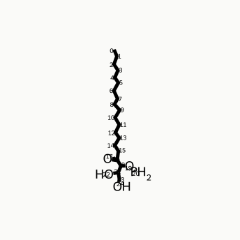 CCCCCCCCCCCCCCCCC(=O)C(OP)C(O)CO